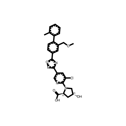 COCc1cc(-c2nc(-c3cnc(N4C[C@H](O)C[C@H]4C(=O)O)c(Cl)c3)no2)ccc1-c1ccccc1C